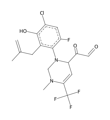 C=C(C)Cc1c(O)c(Cl)cc(F)c1N1CN(C)C(C(F)(F)F)=CC1C(=O)C=O